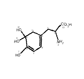 NC(CC1=CC=C(O)C(O)(O)C1)C(=O)O